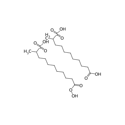 CC(CCCCCCCCC(=O)O)S(=O)(=O)O.CC(CCCCCCCCC(=O)OO)S(=O)(=O)O